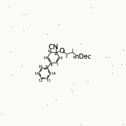 CCCCCCCCCCCCOC1(C#N)C=CC(c2ccccc2)=CC1